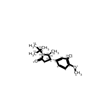 COc1ccc([C@@H]2CC(=O)N(C(C)(C)C)[C@H]2C)cc1Cl